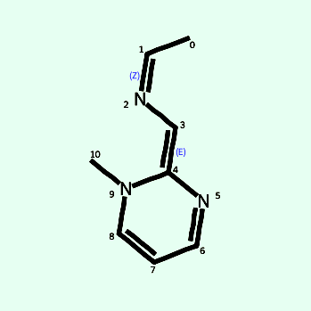 C/C=N\C=C1\N=CC=CN1C